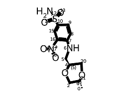 C[C@@H]1CO[C@@H](CNc2ccc(S(N)(=O)=O)cc2[N+](=O)[O-])CO1